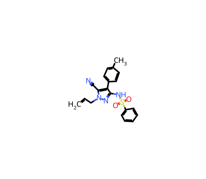 C=CCn1nc(NS(=O)(=O)c2ccccc2)c(-c2ccc(C)cc2)c1C#N